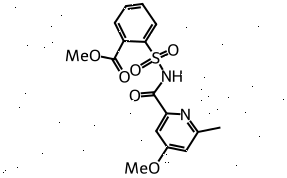 COC(=O)c1ccccc1S(=O)(=O)NC(=O)c1cc(OC)cc(C)n1